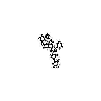 c1ccc(-c2nc(-c3ccc4c(c3)C3(c5ccccc5O4)c4ccccc4-c4ccccc43)cc(-c3ccc4c(c3)oc3ccccc34)n2)cc1